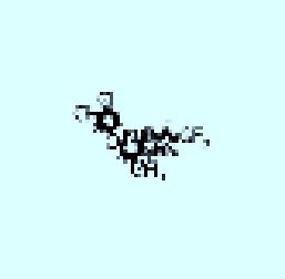 Cc1cc(Oc2ccc(Cl)c(Cl)c2)nc(Oc2cc(C(F)(F)F)nn2C)c1